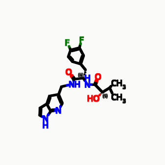 CC(C)[C@H](O)C(=O)N[C@@H](Cc1ccc(F)c(F)c1)C(=O)NCc1cnc2[nH]ccc2c1